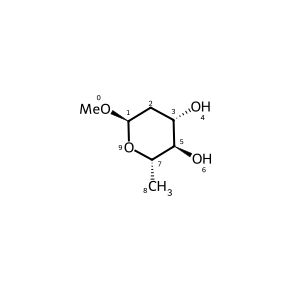 CO[C@H]1C[C@H](O)[C@@H](O)[C@H](C)O1